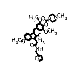 COc1ccc2c(c1)C(CC(=O)NCc1ccco1)=C(C)C2=Cc1cc(OC)c(OC(=O)N2CCN(C)CC2)c(OC)c1